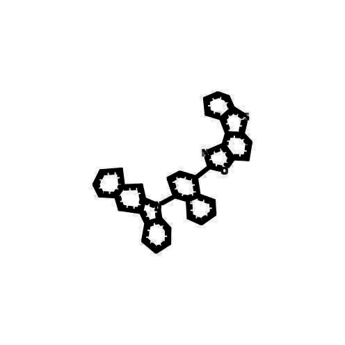 c1ccc2cc3c(cc2c1)c1ccccc1n3-c1ccc(-c2nc3c(ccc4sc5ccccc5c43)o2)c2ccccc12